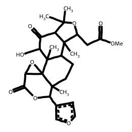 COC(=O)CC1OC(C)(C)C2C(=O)C(O)C3(C)C(CCC4(C)C(c5ccoc5)OC(=O)C5OC543)C12C